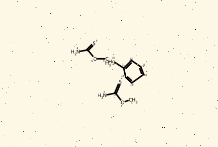 COC(N)=S.COC(N)=S.[Hg][c]1ccccc1